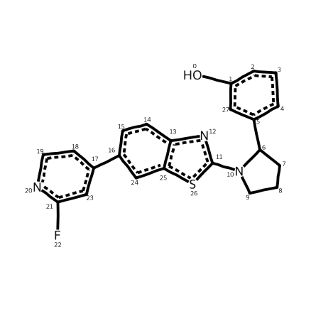 Oc1cccc(C2CCCN2c2nc3ccc(-c4ccnc(F)c4)cc3s2)c1